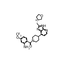 Nc1cc(OC(F)(F)F)ccc1C(=O)N1CCC(c2ccnc3[nH]c(C[C@@H]4CCOC4)nc23)CC1